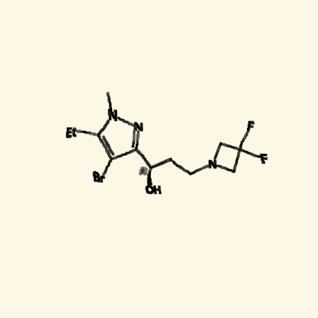 CCc1c(Br)c([C@H](O)CCN2CC(F)(F)C2)nn1C